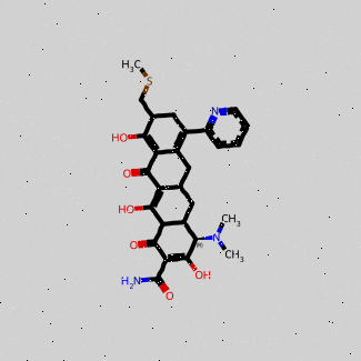 CSCC1CC(c2ccccn2)=C2CC3CC4C(C(=O)C(C(N)=O)=C(O)[C@@H]4N(C)C)C(O)=C3C(=O)C2=C1O